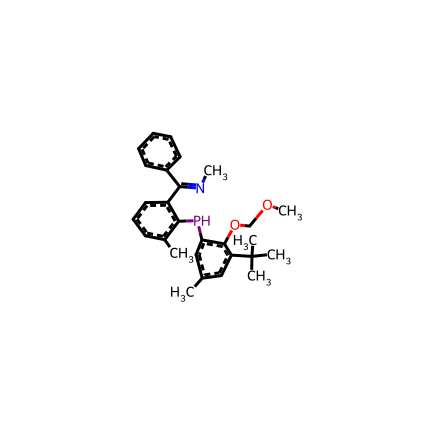 C/N=C(\c1ccccc1)c1cccc(C)c1Pc1cc(C)cc(C(C)(C)C)c1OCOC